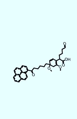 COC1=C(C(CCCC=O)C(=O)O)C=CC(CCCCCC(=O)c2ccc3ccc4cccc5ccc2c3c45)(OC)C1